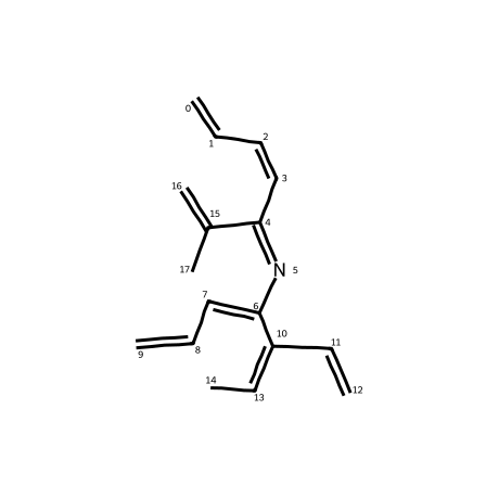 C=C\C=C/C(=N/C(=C/C=C)C(/C=C)=C\C)C(=C)C